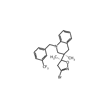 C[C@@]1([C@]2(C)CC(Br)=NO2)Cc2ccccc2N(Cc2cccc(C(F)(F)F)c2)C1